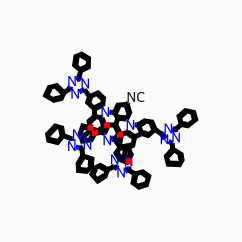 [C-]#[N+]c1cc(-n2c3ccc(-c4nc(-c5ccccc5)nc(-c5ccccc5)n4)cc3c3cc(-c4nc(-c5ccccc5)nc(-c5ccccc5)n4)ccc32)c(-c2cc(-c3ccccc3)nc(-c3ccccc3)c2)c(-n2c3ccc(-c4nc(-c5ccccc5)nc(-c5ccccc5)n4)cc3c3cc(-c4nc(-c5ccccc5)nc(-c5ccccc5)n4)ccc32)c1